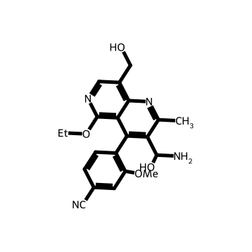 CCOc1ncc(CO)c2nc(C)c(C(N)O)c(-c3ccc(C#N)cc3OC)c12